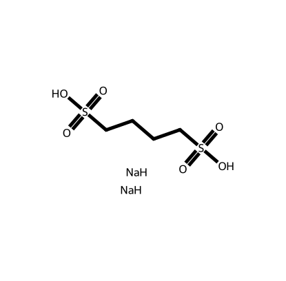 O=S(=O)(O)CCCCS(=O)(=O)O.[NaH].[NaH]